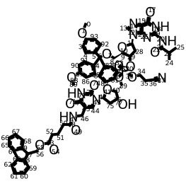 COc1ccc(C(OC[C@H]2O[C@@H](n3cnc4c(=O)[nH]c(NC(=O)C(C)C)nc43)CC2OP(=O)(OCCC#N)OC[C@H]2O[C@@H](n3cc(CNC(=O)CCCC(=O)OCC4c5ccccc5-c5ccccc54)c(=O)[nH]c3=O)CC2O)(c2ccccc2)c2ccc(OC)cc2)cc1